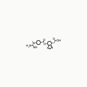 CN(C(=N)N)c1ccc(C(=O)Oc2ccc(CC(=O)O)n3ncnc23)cc1